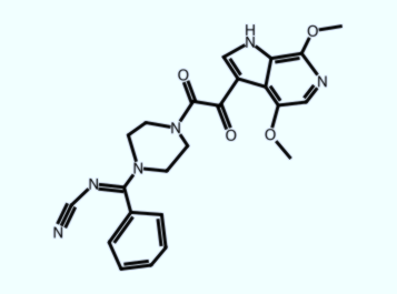 COc1ncc(OC)c2c(C(=O)C(=O)N3CCN(/C(=N/C#N)c4ccccc4)CC3)c[nH]c12